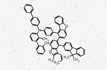 C/C=C\c1c(C)oc2ccc(-c3ccc4oc5ccccc5c4c3-c3ccc(N(c4ccc(-c5ccccc5)cc4)c4cccc(-c5ccccc5C)c4C)cc3)c(-c3ccc4c(c3)C(C)(C)c3ccccc3-4)c12